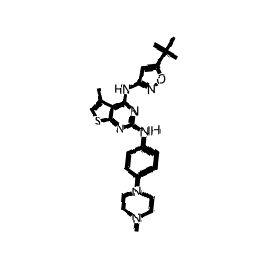 Cc1csc2nc(Nc3ccc(N4CCN(C)CC4)cc3)nc(Nc3cc(C(C)(C)C)on3)c12